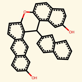 Oc1ccc2cc3ccc4c(c3cc2c1)C(c1ccc2ccccc2c1)c1c(ccc2ccc(O)cc12)O4